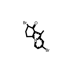 Cc1c2c(n3ccc(Br)cc13)CCC(Br)C2=O